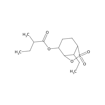 CCC(C)C(=O)OC1CCC2C(CC)C1OS2(=O)=O